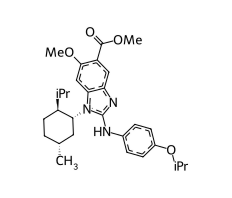 COC(=O)c1cc2nc(Nc3ccc(OC(C)C)cc3)n([C@@H]3C[C@H](C)CC[C@H]3C(C)C)c2cc1OC